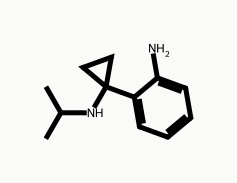 CC(C)NC1(c2ccccc2N)CC1